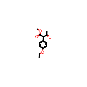 CCOc1ccc(C(C(C)=O)C(=O)OC)cc1